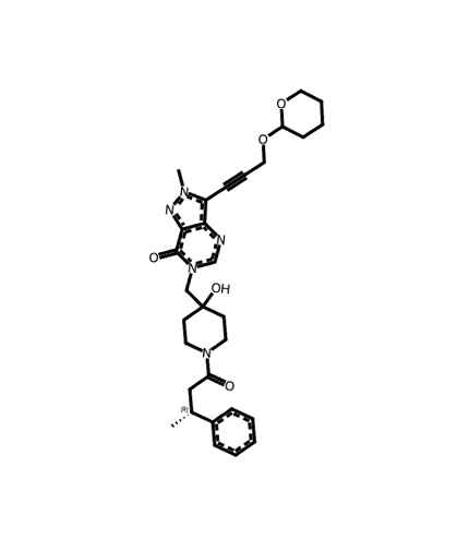 C[C@H](CC(=O)N1CCC(O)(Cn2cnc3c(C#CCOC4CCCCO4)n(C)nc3c2=O)CC1)c1ccccc1